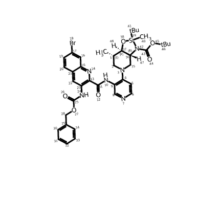 C[C@H]1CN(c2ccncc2NC(=O)c2nc3cc(Br)ccc3cc2NC(=O)OCc2ccccc2)C[C@@H]2[C@@H]1O[Si](C)(C(C)(C)C)N2C(=O)OC(C)(C)C